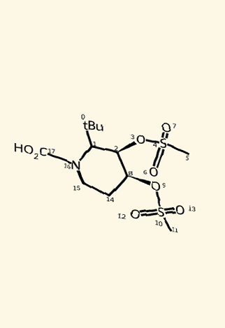 CC(C)(C)C1[C@@H](OS(C)(=O)=O)[C@@H](OS(C)(=O)=O)CCN1C(=O)O